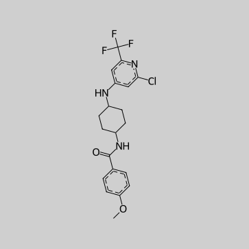 COc1ccc(C(=O)NC2CCC(Nc3cc(Cl)nc(C(F)(F)F)c3)CC2)cc1